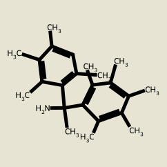 Cc1cc(C)c(C(C)(N)c2c(C)c(C)c(C)c(C)c2C)c(C)c1C